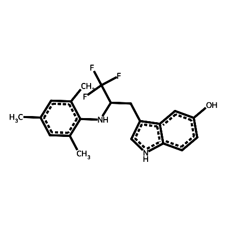 Cc1cc(C)c(NC(Cc2c[nH]c3ccc(O)cc23)C(F)(F)F)c(C)c1